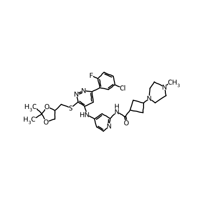 CN1CCN(C2CC(C(=O)Nc3cc(Nc4cc(-c5cc(Cl)ccc5F)nnc4SCC4COC(C)(C)O4)ccn3)C2)CC1